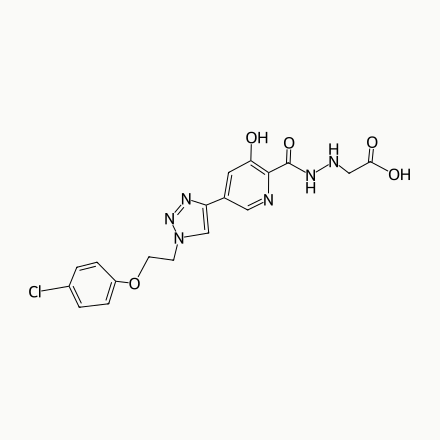 O=C(O)CNNC(=O)c1ncc(-c2cn(CCOc3ccc(Cl)cc3)nn2)cc1O